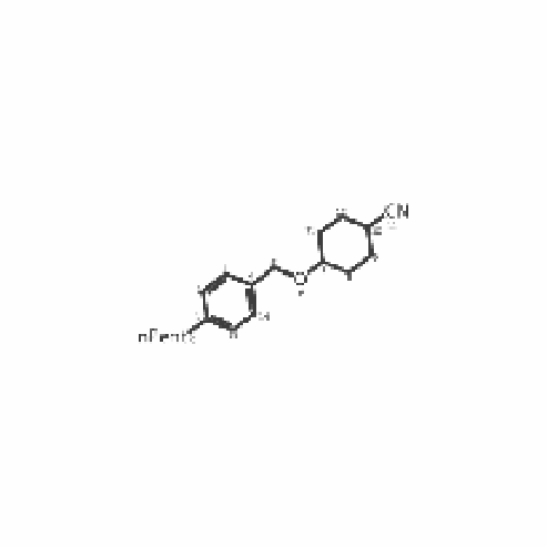 CCCCCc1ccc(COC2CCC(C#N)CC2)cc1